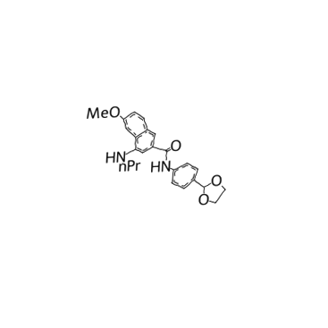 CCCNc1cc(C(=O)Nc2ccc(C3OCCO3)cc2)cc2ccc(OC)cc12